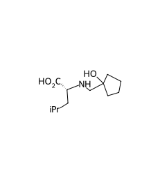 CC(C)C[C@@H](NCC1(O)CCCC1)C(=O)O